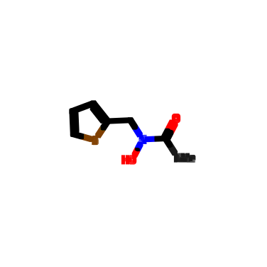 CNC(=O)N(O)Cc1cccs1